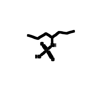 CCCC(CCC)NS(=O)(=O)O